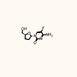 Nc1nc(=O)n([C@@H]2CC[C@@H](CO)O2)cc1F